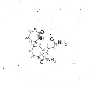 NC(=O)CCCC1(C(N)=O)CCCCCC1.O=C1CCCCCN1